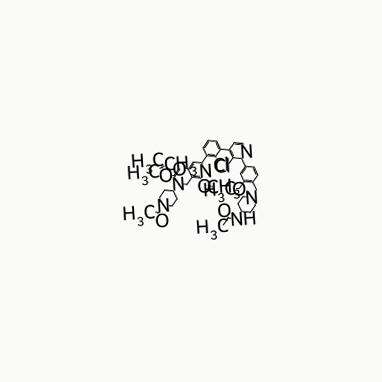 COc1cc(-c2nccc(-c3cccc(-c4ccc(CN(C(=O)OC(C)(C)C)C5CCN(C(C)=O)CC5)c(OC)n4)c3Cl)c2Cl)ccc1CN1CCC(NC(C)=O)CC1